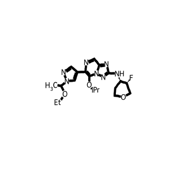 CCOC(C)n1cc(-c2ncc3nc(N[C@H]4CCOC[C@H]4F)nn3c2OC(C)C)cn1